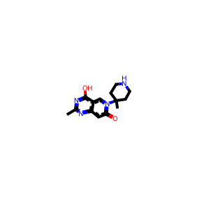 Cc1nc(O)c2cn(C3(C)CCNCC3)c(=O)cc2n1